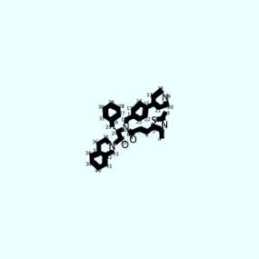 Cc1nc(C)c(/C=C/C(=O)N(Cc2ccc(-c3ccncc3)cc2)[C@@H](Cc2ccccc2)C(=O)N2CCc3ccccc3C2)s1